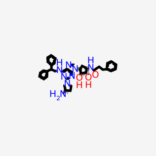 N[C@@H]1CCN(c2nc(NCC(c3ccccc3)c3ccccc3)c3ncn([C@@H]4C[C@H](NC(=O)CCc5ccccc5)[C@@H](O)[C@H]4O)c3n2)C1